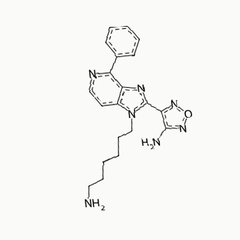 NCCCCCCn1c(-c2nonc2N)nc2c(-c3ccccc3)nccc21